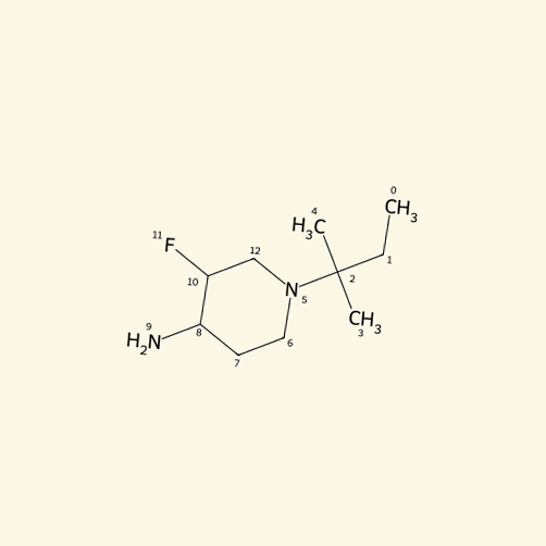 CCC(C)(C)N1CCC(N)C(F)C1